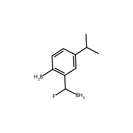 Bc1ccc(C(C)C)cc1C(B)F